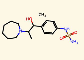 C.CC(C(O)c1ccc(NS(N)(=O)=O)cc1)N1CCCCCC1